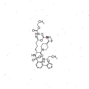 CCOC(=O)NN=C(CCC[C@H](NS(=O)(=O)c1cccc(-c2cccs2)c1NC(=O)CC)C(=O)N1CCC(=C(F)F)CC1)OC(N)=O